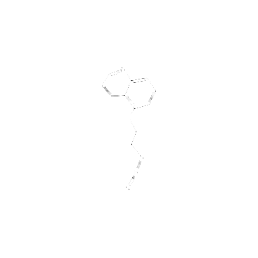 [N-]=[N+]=NCCOc1cccc2ncccc12